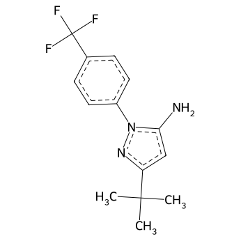 CC(C)(C)c1cc(N)n(-c2ccc(C(F)(F)F)cc2)n1